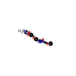 CN1CCN(S(=O)(=O)c2ccc(COc3ccc(-c4cn(C(=O)NCCCOc5ccccc5)cn4)cc3)cc2)CC1